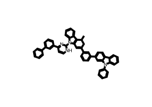 CC1CC(c2cccc(-c3ccc4c5ccccc5n(-c5ccccc5)c4c3)c2)=Cc2c1c1ccccc1n2C1N=C(c2cccc(-c3ccccc3)c2)C=CN1